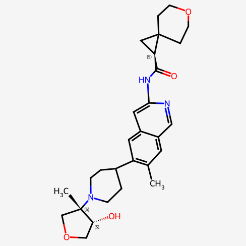 Cc1cc2cnc(NC(=O)[C@H]3CC34CCOCC4)cc2cc1C1CCN([C@@]2(C)COC[C@H]2O)CC1